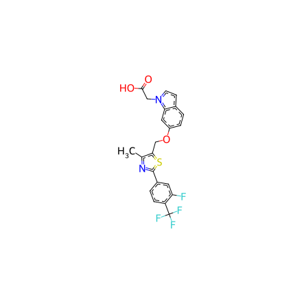 Cc1nc(-c2ccc(C(F)(F)F)c(F)c2)sc1COc1ccc2ccn(CC(=O)O)c2c1